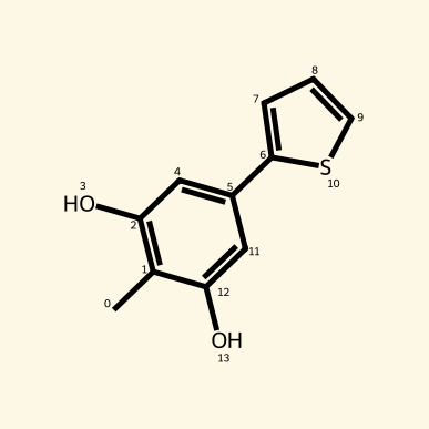 Cc1c(O)cc(-c2cccs2)cc1O